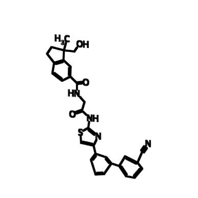 CC1(CO)CCc2ccc(C(=O)NCC(=O)Nc3nc(-c4cccc(-c5cccc(C#N)c5)c4)cs3)cc21